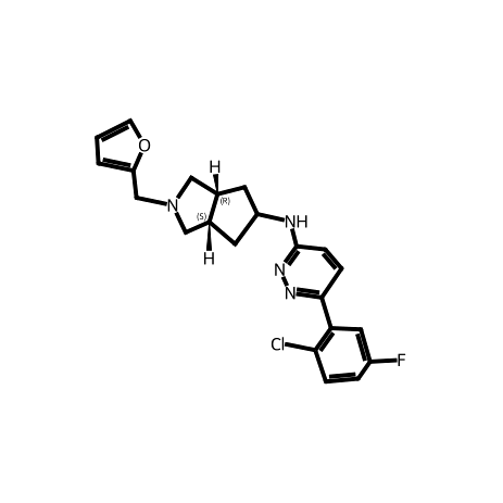 Fc1ccc(Cl)c(-c2ccc(NC3C[C@@H]4CN(Cc5ccco5)C[C@@H]4C3)nn2)c1